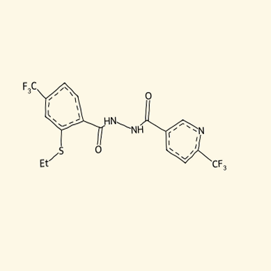 CCSc1cc(C(F)(F)F)ccc1C(=O)NNC(=O)c1ccc(C(F)(F)F)nc1